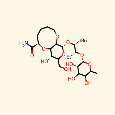 CCCC[C@@H](O[C@@H]1OC(CO)[C@H](O)C2O[C@@H](C(N)=O)CCCCOC21)[C@@H](CC)O[C@@H]1OC(C)[C@@H](O)C(O)[C@@H]1O